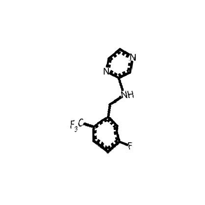 Fc1ccc(C(F)(F)F)c(CNc2cnccn2)c1